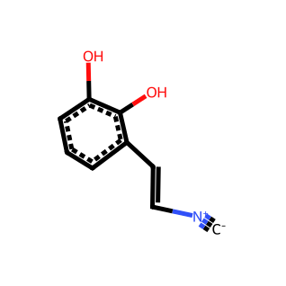 [C-]#[N+]C=Cc1cccc(O)c1O